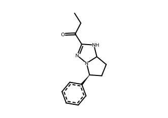 CCC(=O)C1=NN2C(CC[C@H]2c2ccccc2)N1